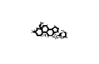 CC1([C@H]2CCC3C4CCC5(C=N)CC(=O)CC[C@@H]5C4CC[C@@]32C)OCCO1